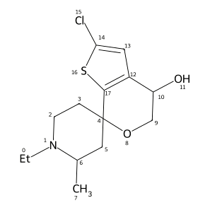 CCN1CCC2(CC1C)OCC(O)c1cc(Cl)sc12